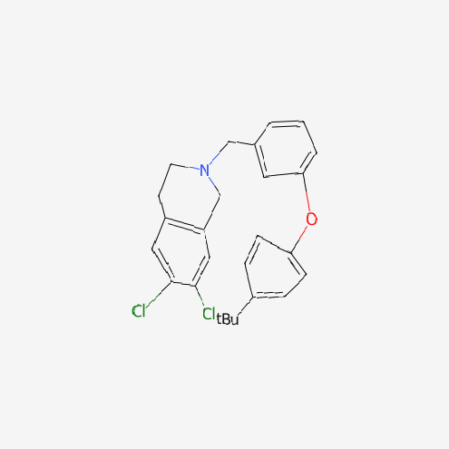 CC(C)(C)c1ccc(Oc2cccc(CN3CCc4cc(Cl)c(Cl)cc4C3)c2)cc1